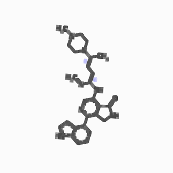 C=N/C(=C\C=C(/C)N1CCN(C)CC1)Nc1cnc(-c2cccc3[nH]ccc23)c2c1C(=O)NC2